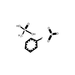 CP(=O)(O)O.Fc1ccccc1.O=S(=O)=O